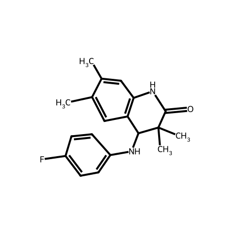 Cc1cc2c(cc1C)C(Nc1ccc(F)cc1)C(C)(C)C(=O)N2